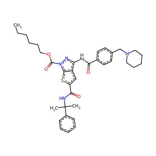 CCCCCCOC(=O)n1nc([AsH]C(=O)c2ccc(CN3CCCCC3)cc2)c2cc(C(=O)NC(C)(C)c3ccccc3)sc21